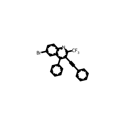 FC(F)(F)c1nc2ccc(Br)cc2c(-c2ccccc2)c1C#Cc1ccccc1